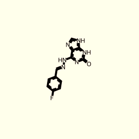 O=c1nc(NN=Cc2ccc(F)cc2)c2nc[nH]c2[nH]1